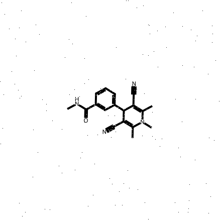 CNC(=O)c1cccc(C2C(C#N)=C(C)N(C)C(C)=C2C#N)c1